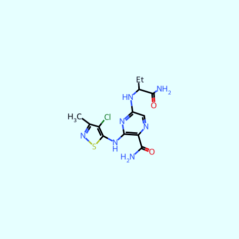 CCC(Nc1cnc(C(N)=O)c(Nc2snc(C)c2Cl)n1)C(N)=O